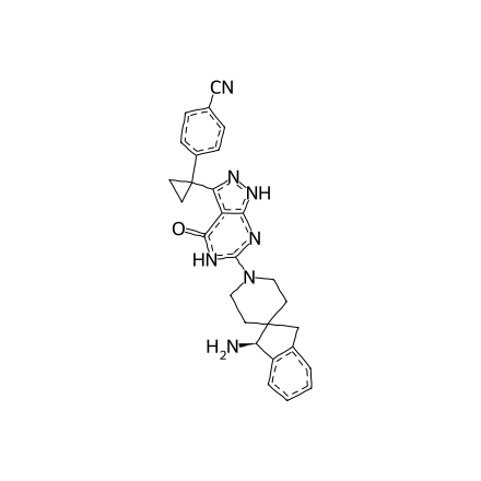 N#Cc1ccc(C2(c3n[nH]c4nc(N5CCC6(CC5)Cc5ccccc5[C@H]6N)[nH]c(=O)c34)CC2)cc1